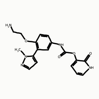 Cn1nccc1-c1cc(NC(=O)Oc2ccc[nH]c2=O)ccc1OCCN